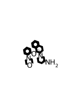 N[C@@H]1CCCN([C@H]2CCc3ccccc3[C@@H]2Oc2ccccc2N2CCOCC2)C1